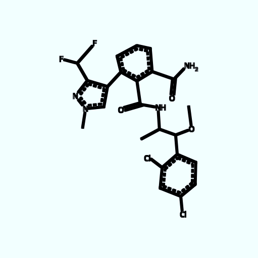 COC(c1ccc(Cl)cc1Cl)C(C)NC(=O)c1c(C(N)=O)cccc1-c1cn(C)nc1C(F)F